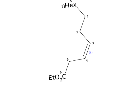 CCCCCCCC/C=C\CC(=O)OCC